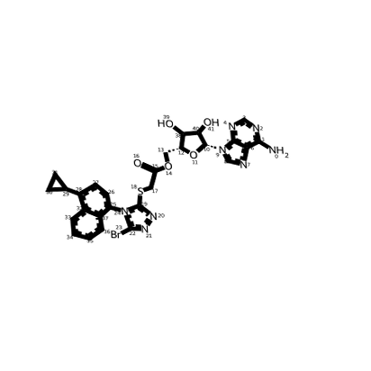 Nc1ncnc2c1ncn2[C@@H]1O[C@H](COC(=O)CSc2nnc(Br)n2-c2ccc(C3CC3)c3ccccc23)C(O)C1O